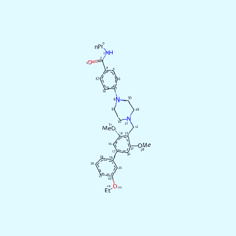 CCCNC(=O)c1ccc(N2CCN(Cc3c(OC)cc(-c4cccc(OCC)c4)cc3OC)CC2)cc1